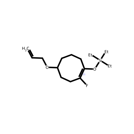 C=CCOC1CCC/C(O[Si](CC)(CC)CC)=C(/F)CC1